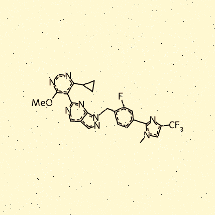 COc1ncnc(C2CC2)c1-c1ncc2cnn(Cc3ccc(-c4nc(C(F)(F)F)cn4C)cc3F)c2n1